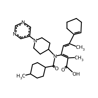 C/C(C(=O)O)=C(\C=C(/C)C1=CCCCC1)N(C(=O)C1CCC(C)CC1)C1CCN(c2cncnc2)CC1